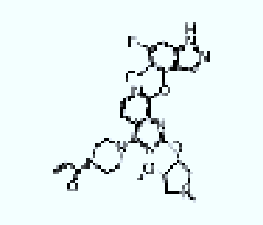 C=CC(=O)N1CCN(c2nc(O[C@H]3CN(C)C[C@@H]3OC)nc3c(Oc4c(Cl)c(F)cc5[nH]ncc45)nccc23)CC1